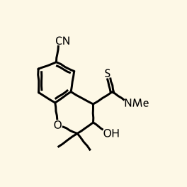 CNC(=S)C1c2cc(C#N)ccc2OC(C)(C)C1O